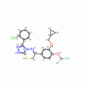 FC(F)Oc1ccc(C2=Nn3c(nnc3-c3ccccc3Cl)SC2)cc1OCC1CC1